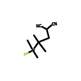 CC(C)(CC(C#N)C#N)[Si](C)(C)F